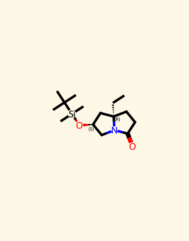 CC[C@]12CCC(=O)N1C[C@@H](O[Si](C)(C)C(C)(C)C)C2